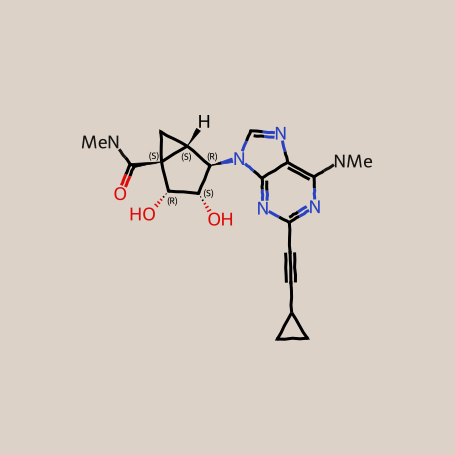 CNC(=O)[C@@]12C[C@@H]1[C@@H](n1cnc3c(NC)nc(C#CC4CC4)nc31)[C@H](O)[C@@H]2O